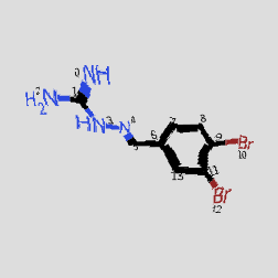 N=C(N)NN=Cc1ccc(Br)c(Br)c1